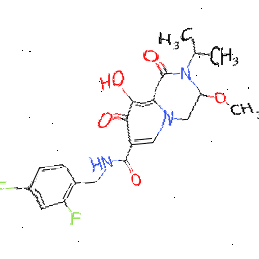 COC1Cn2cc(C(=O)NCc3ccc(F)cc3F)c(=O)c(O)c2C(=O)N1C(C)C